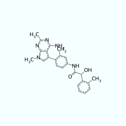 Cc1nc(N)c2c(-c3ccc(NC(=O)C(O)c4ccccc4C)cc3C)cn(C)c2n1